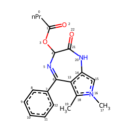 CCCC(=O)OC1N=C(c2ccccc2)c2c(cn(C)c2C)NC1=O